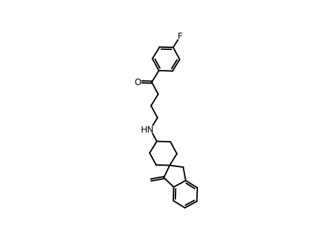 C=C1c2ccccc2CC12CCC(NCCCC(=O)c1ccc(F)cc1)CC2